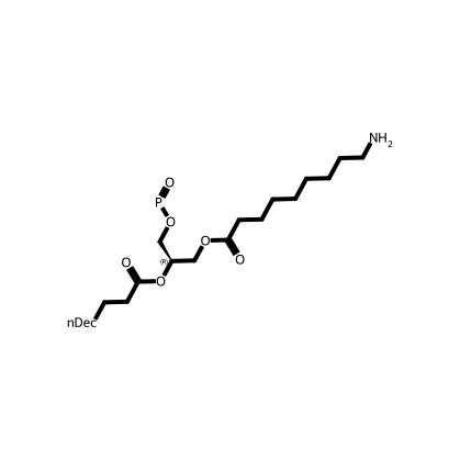 CCCCCCCCCCCCC(=O)O[C@@H](COP=O)COC(=O)CCCCCCCCN